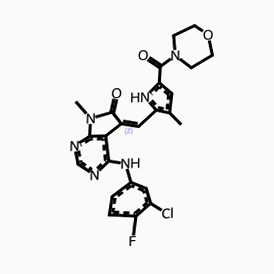 Cc1cc(C(=O)N2CCOCC2)[nH]c1/C=C1\C(=O)N(C)c2ncnc(Nc3ccc(F)c(Cl)c3)c21